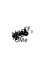 COc1nc(C)nc(NC(=O)NS(=O)(=O)c2ccccc2CC(F)(F)F)n1